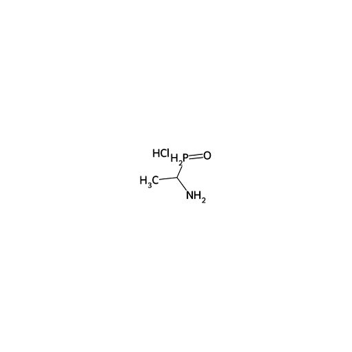 CC(N)[PH2]=O.Cl